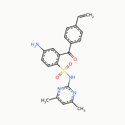 C=Cc1ccc(C(=O)c2cc(N)ccc2S(=O)(=O)Nc2nc(C)cc(C)n2)cc1